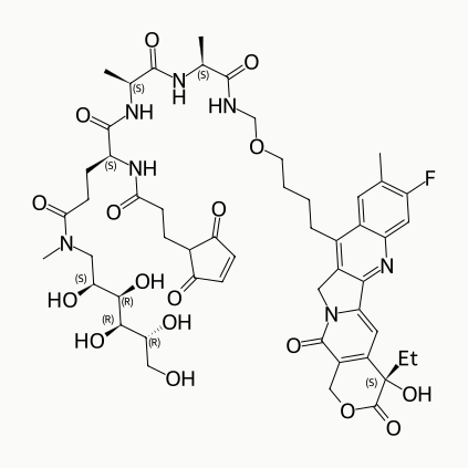 CC[C@@]1(O)C(=O)OCc2c1cc1n(c2=O)Cc2c-1nc1cc(F)c(C)cc1c2CCCCOCNC(=O)[C@H](C)NC(=O)[C@H](C)NC(=O)[C@H](CCC(=O)N(C)C[C@H](O)[C@@H](O)[C@H](O)[C@H](O)CO)NC(=O)CCC1C(=O)C=CC1=O